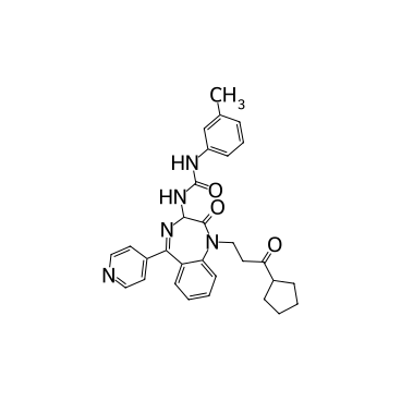 Cc1cccc(NC(=O)NC2N=C(c3ccncc3)c3ccccc3N(CCC(=O)C3CCCC3)C2=O)c1